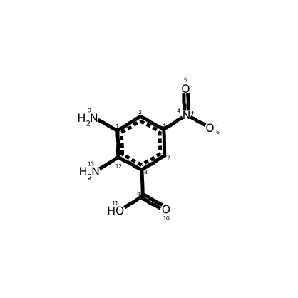 Nc1cc([N+](=O)[O-])cc(C(=O)O)c1N